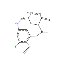 C=Cc1c(F)cc(NCCC)cc1CB(C)C(CCC=O)C(=C)NC